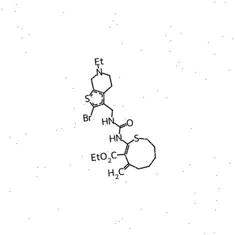 C=C1CCCCCS/C(NC(=O)NCc2c(Br)sc3c2CCN(CC)C3)=C\1C(=O)OCC